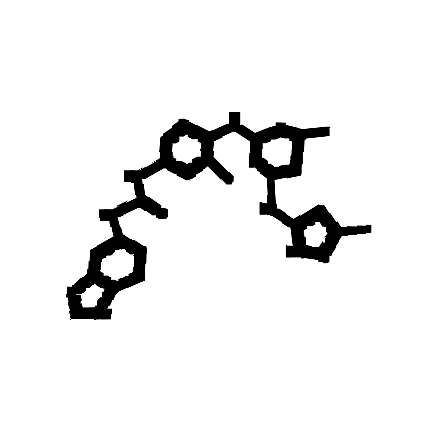 Cc1cc(Nc2cc(C)nc(Nc3ccc(NC(=O)Nc4ccc5[nH]cnc5c4)cc3C)n2)[nH]n1